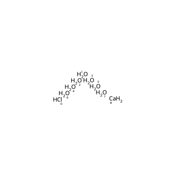 Cl.O.O.O.O.O.O.O.[CaH2]